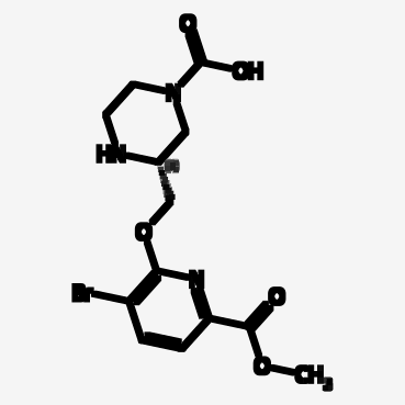 COC(=O)c1ccc(Br)c(OC[C@H]2CN(C(=O)O)CCN2)n1